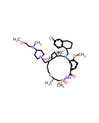 COCCN(C)C1CCN(C[C@]2(O)CCC[C@H](C)[C@@H](C)S(=O)(=O)NC(=O)c3ccc(OC)c(c3)N(C[C@]3(C)CCCc4cc(Cl)ccc43)C[C@@H]3CC[C@H]32)CC1